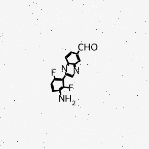 Nc1ccc(F)c(-c2cnc3cc(C=O)ccc3n2)c1F